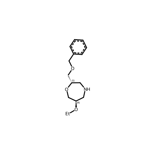 CCO[C@@H]1CNC[C@@H](COCc2ccccc2)OC1